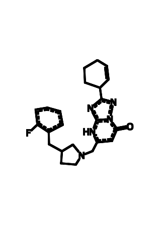 O=c1cc(CN2CCC(Cc3ccccc3F)C2)[nH]c2nc(C3C=CCCC3)nn12